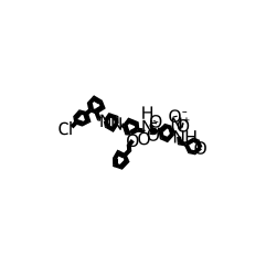 O=C(NS(=O)(=O)c1ccc(NCC2CCOCC2)c([N+](=O)[O-])c1)c1ccc(N2CCN(Cc3ccccc3-c3ccc(Cl)cc3)CC2)cc1OCCc1ccccc1